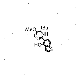 COC(=O)[C@@H](NC(=O)c1ccc2sccc2c1O)C(C)(C)C